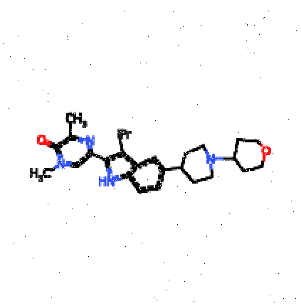 Cc1nc(-c2[nH]c3ccc(C4CCN(C5CCOCC5)CC4)cc3c2C(C)C)cn(C)c1=O